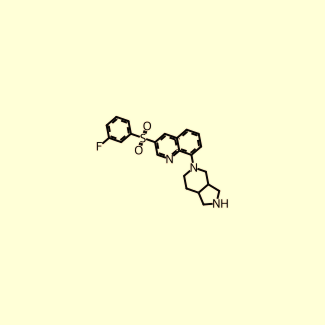 O=S(=O)(c1cccc(F)c1)c1cnc2c(N3CCC4CNCC4C3)cccc2c1